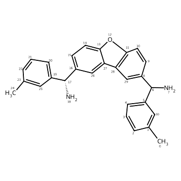 Cc1cccc(C(N)c2ccc3oc4ccc([C@H](N)c5cccc(C)c5)cc4c3c2)c1